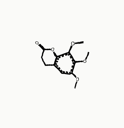 COc1cc2c(c(OC)c1OC)OC(=O)CC2